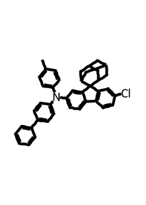 Cc1ccc(N(c2ccc(-c3ccccc3)cc2)c2ccc3c(c2)C2(c4cc(Cl)ccc4-3)C3CC4CC(C3)CC2C4)cc1